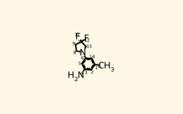 Cc1cc(N)cc(N2CCC(F)(F)C2)c1